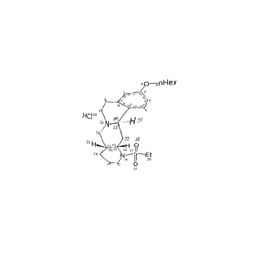 CCCCCCOc1ccc2c(c1)CCN1C[C@H]3CCCN(S(=O)(=O)CC)[C@H]3C[C@H]21.Cl